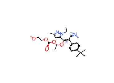 CCn1nc(C)cc1/C(OC(C)OC(=O)OCCOC)=C(\C=N/C)c1ccc(C(C)(C)C)cc1